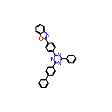 c1ccc(-c2ccc(-c3nc(-c4ccccc4)nc(-c4ccc(-c5nc6ccccc6o5)cc4)n3)cc2)cc1